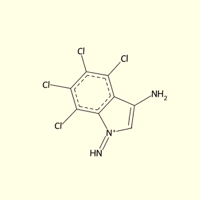 N=[N+]1C=C(N)c2c(Cl)c(Cl)c(Cl)c(Cl)c21